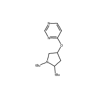 CC(C)(C)C1CC(Oc2ccncn2)CN1C(C)(C)C